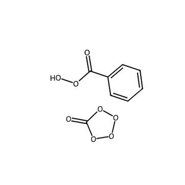 O=C(OO)c1ccccc1.O=C1OOOO1